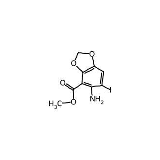 COC(=O)c1c(N)c(I)cc2c1OCO2